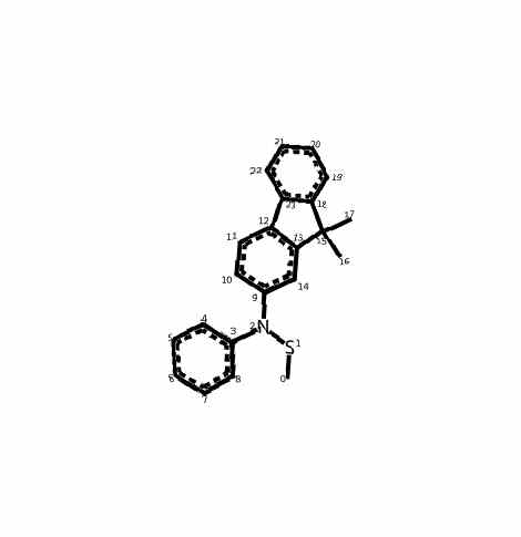 CSN(c1ccccc1)c1ccc2c(c1)C(C)(C)c1ccccc1-2